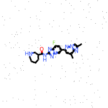 Cc1cn2nc(-c3cc(F)c4nc(NC(=O)C5CCCCNC5)nn4c3)cc(C)c2n1